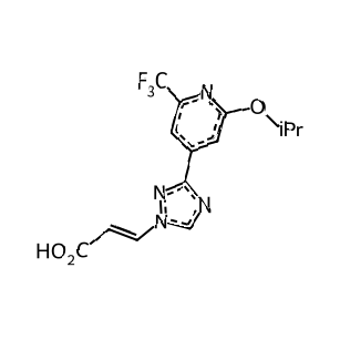 CC(C)Oc1cc(-c2ncn(C=CC(=O)O)n2)cc(C(F)(F)F)n1